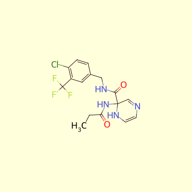 CCC(=O)NC1(C(=O)NCc2ccc(Cl)c(C(F)(F)F)c2)C=NC=CN1